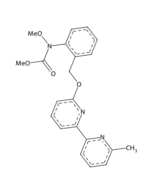 COC(=O)N(OC)c1ccccc1COc1cccc(-c2cccc(C)n2)n1